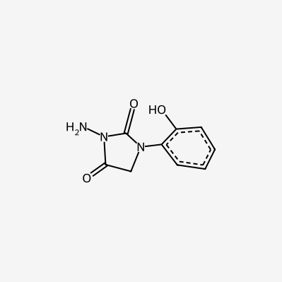 NN1C(=O)CN(c2ccccc2O)C1=O